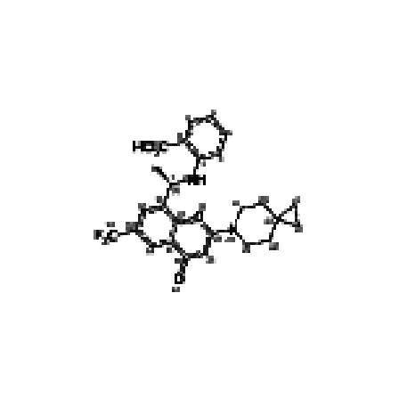 C[C@@H](Nc1ccccc1C(=O)O)c1cc(C(F)(F)F)cc2c(=O)cc(N3CCC4(CC3)CC4)oc12